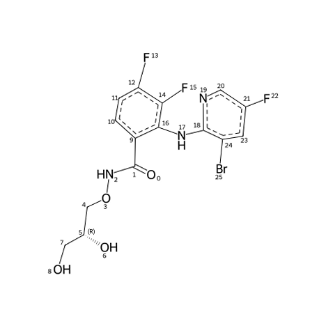 O=C(NOC[C@H](O)CO)c1ccc(F)c(F)c1Nc1ncc(F)cc1Br